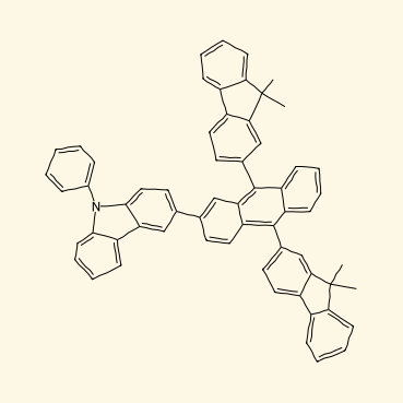 CC1(C)c2ccccc2-c2ccc(-c3c4ccccc4c(-c4ccc5c(c4)C(C)(C)c4ccccc4-5)c4cc(-c5ccc6c(c5)c5ccccc5n6-c5ccccc5)ccc34)cc21